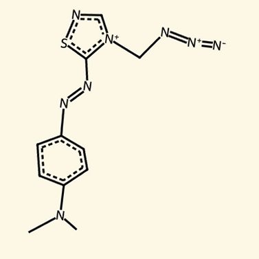 CN(C)c1ccc(N=Nc2snc[n+]2CN=[N+]=[N-])cc1